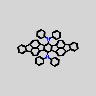 c1ccc(N(c2ccccc2)c2c3c4ccc5c6c(ccc(c3c(N(c3ccccc3)c3ccccc3)c3c7ccc8c9c(ccc(c23)c97)-c2ccccc2-8)c64)-c2ccccc2-5)cc1